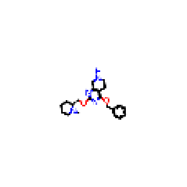 CN1CCCC[C@H]1COc1nc2c(c(OCc3ccccc3)n1)CCNC2